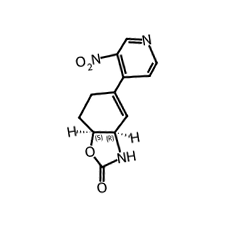 O=C1N[C@@H]2C=C(c3ccncc3[N+](=O)[O-])CC[C@@H]2O1